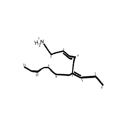 CC/C=C(\C=C/CN)CCCC